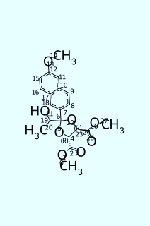 COC(=O)[C@@H]1OC(c2ccc3cc(OC)ccc3c2)(C(C)O)O[C@H]1C(=O)OC